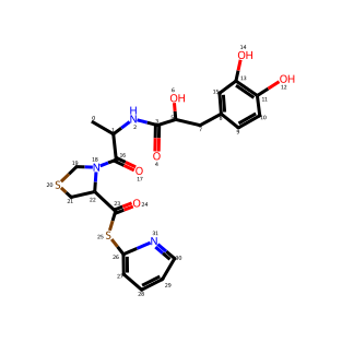 CC(NC(=O)C(O)Cc1ccc(O)c(O)c1)C(=O)N1CSCC1C(=O)Sc1ccccn1